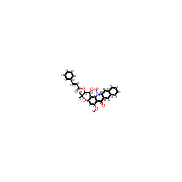 COc1cc2c(c3c1c(=O)c1cc4ccccc4cc1n3C)C(O)C(OC(=O)/C=C/c1ccccc1)C(C)(C)O2